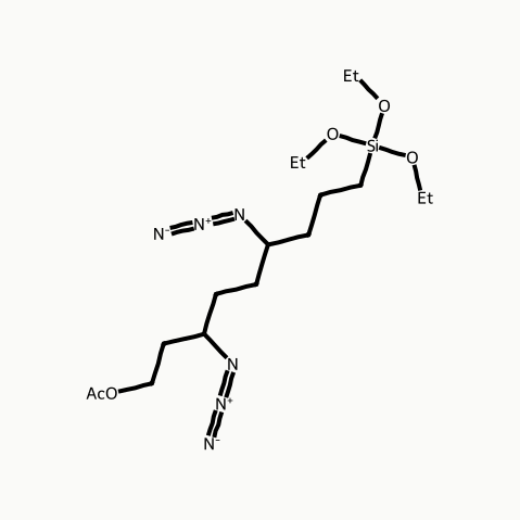 CCO[Si](CCCC(CCC(CCOC(C)=O)N=[N+]=[N-])N=[N+]=[N-])(OCC)OCC